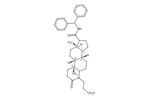 C[C@]12CCC(=O)N(CCC(=O)O)C1CC[C@@H]1[C@H]2CC[C@]2(C)C(C(=O)NC(c3ccccc3)c3ccccc3)CC[C@@H]12